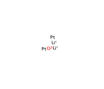 [Li+].[Li+].[O-2].[Pt].[Pt]